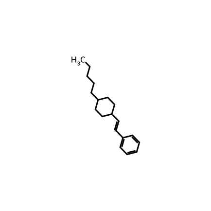 CCCCCC1CCC(C=Cc2ccccc2)CC1